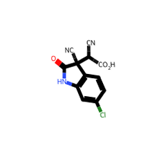 N#CC(C(=O)O)C1(C#N)C(=O)Nc2cc(Cl)ccc21